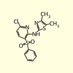 Cc1nc(Nc2nc(Cl)ccc2S(=O)(=O)c2ccccc2)sc1C